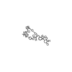 CC(C)NC(=O)O[C@@H]1CC[C@H](c2cc(NC(=O)c3ccnn3CCOCCOCCCc3cccc4c3n(C)c(=O)n4C3CCC(=O)NC3=O)n(C(C)(C)C)n2)C1